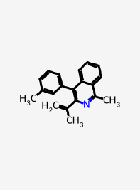 C=C(C)c1nc(C)c2ccccc2c1-c1cccc(C)c1